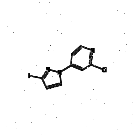 Clc1cc(-n2ccc(I)n2)ccn1